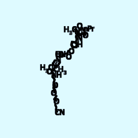 CCCn1c(=O)c2[nH]c(-c3ccc(OCC(=O)NCC(=O)N4CCN(C(C)(C)C(=O)NCCCOCCOCCOCCCC#N)CC4)cc3)cc2n(C)c1=O